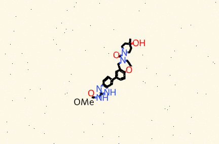 COC(=O)Nc1nc2ccc(-c3ccc4c(c3)CN(C(=O)N3CCC(C)(O)CC3)CCO4)cc2[nH]1